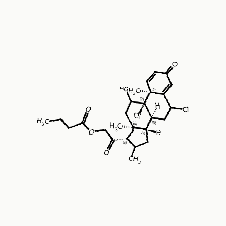 CCCC(=O)OCC(=O)[C@H]1C(C)C[C@H]2[C@@H]3CC(Cl)C4=CC(=O)C=C[C@]4(C)[C@@]3(Cl)C(O)C[C@]12C